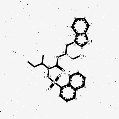 CCC(C)[C@H](NS(=O)(=O)c1cccc2ccccc12)C(=O)N[C@@H](CO)Cc1c[nH]c2ccccc12